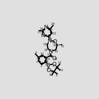 Cc1ccc(B2OC(C)(C)C(C)(C)O2)c(C(=O)N2CCN(c3cc(C)nc(C)n3)O[C@@H](C)C2)c1